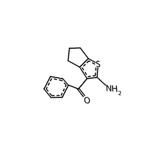 Nc1sc2c(c1C(=O)c1ccccc1)CCC2